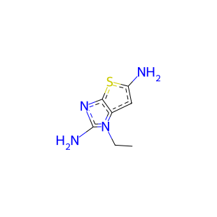 CCn1c(N)nc2sc(N)cc21